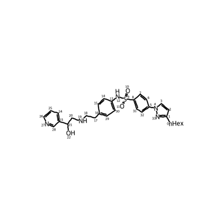 CCCCCCc1ccn(-c2ccc(S(=O)(=O)Nc3ccc(CCNCC(O)c4cccnc4)cc3)cc2)n1